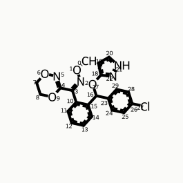 CON=C(C1=NOCCO1)c1ccccc1C(Oc1cc[nH]n1)c1ccc(Cl)cc1